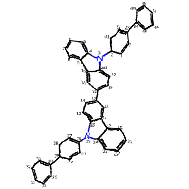 C1=CC(n2c3ccccc3c3cc(-c4ccc5c(c4)c4ccccc4n5C4=CCC(c5ccccc5)C=C4)ccc32)CC=C1c1ccccc1